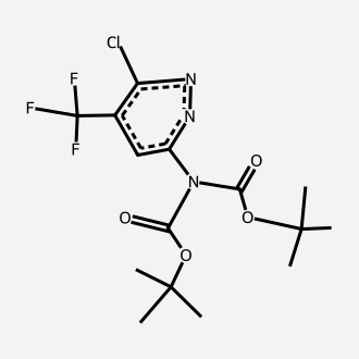 CC(C)(C)OC(=O)N(C(=O)OC(C)(C)C)c1cc(C(F)(F)F)c(Cl)nn1